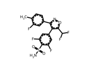 Cc1ccc(-c2noc(C(F)F)c2-c2cc(F)c(S(N)(=O)=O)c(F)c2)cc1F